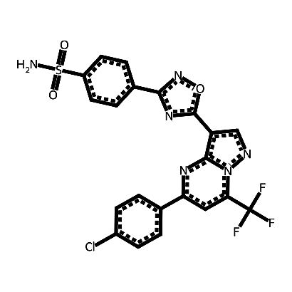 NS(=O)(=O)c1ccc(-c2noc(-c3cnn4c(C(F)(F)F)cc(-c5ccc(Cl)cc5)nc34)n2)cc1